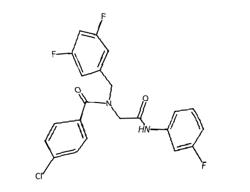 O=C(CN(Cc1cc(F)cc(F)c1)C(=O)c1ccc(Cl)cc1)Nc1cccc(F)c1